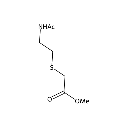 COC(=O)CSCCNC(C)=O